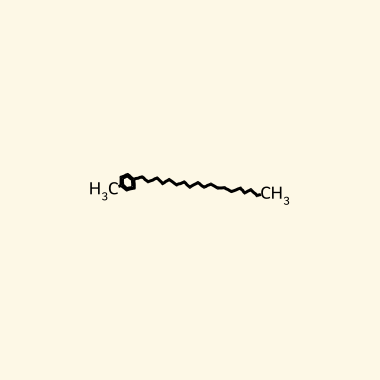 CCCCCCCCCCCCCCCCCCCc1ccc(C)cc1